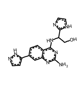 Nc1nc(NC(CO)c2ncc[nH]2)c2ccc(-c3ccn[nH]3)cc2n1